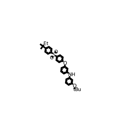 CCC(C)(C)c1ccc(S(=O)(=O)c2ccc(Oc3cccc(Nc4cccc(OC(C)(C)C)c4)c3)cc2)cc1